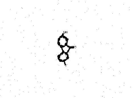 O=C1c2cc(O)ccc2-c2ccc(F)cc21